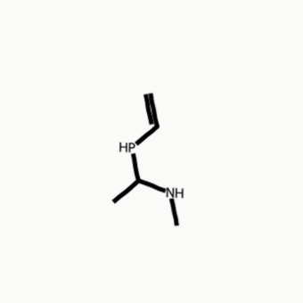 C=CPC(C)NC